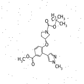 COC(=O)c1ccc(O[C@H]2CCN(C(=O)OC(C)(C)C)C2)c(-c2cnn(C)c2)c1